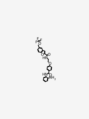 Nc1ccccc1NC(=O)c1ccc(OCCNC(=O)c2cc3cc(COC(F)(F)F)ccc3o2)cc1